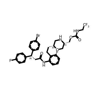 O=C(C[C@H](c1ccc(F)cc1)c1ccc(Br)cc1)Nc1cccc(F)c1CC[C@@H]1CN[C@H](COC(=O)NCC(F)(F)F)CO1